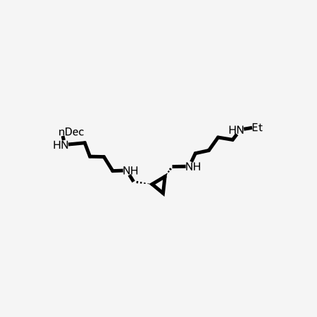 CCCCCCCCCCNCCCCNC[C@H]1C[C@H]1CNCCCCNCC